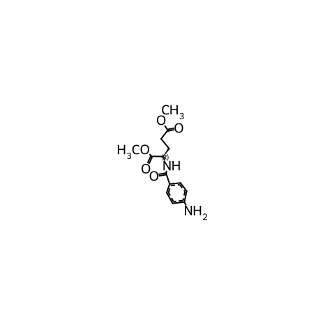 COC(=O)CC[C@@H](NC(=O)c1ccc(N)cc1)C(=O)OC